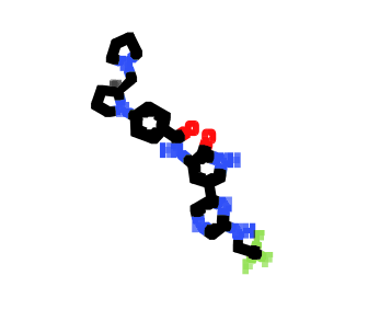 O=C(Nc1cc(-c2cncc(NCC(F)(F)F)n2)c[nH]c1=O)c1ccc(N2CCC[C@H]2CN2CCCC2)cc1